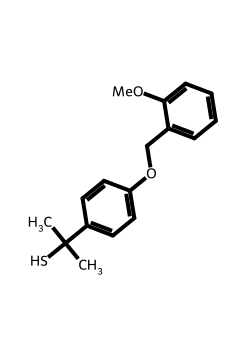 COc1ccccc1COc1ccc(C(C)(C)S)cc1